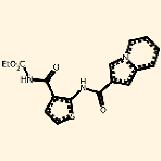 CCOC(=O)NC(=O)c1ccsc1NC(=O)c1cc2ccccn2c1